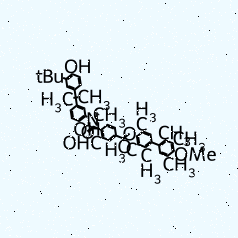 COc1c(C)cc(-c2cc(C)c(OC(=O)c3ccc(C(=O)N(C)c4cc(C(C)(C)c5ccc(O)c(C(C)(C)C)c5)ccc4O)c(C=O)c3)c(C)c2C)c(C)c1C